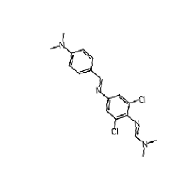 CN(C)C=Nc1c(Cl)cc(N=Cc2ccc(N(C)C)cc2)cc1Cl